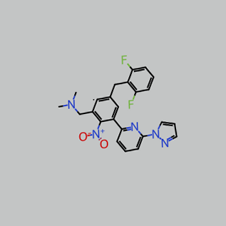 CN(C)Cc1[c]c(Cc2c(F)cccc2F)cc(-c2cccc(-n3cccn3)n2)c1[N+](=O)[O-]